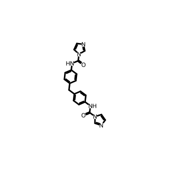 O=C(Nc1ccc(Cc2ccc(NC(=O)n3ccnc3)cc2)cc1)n1ccnc1